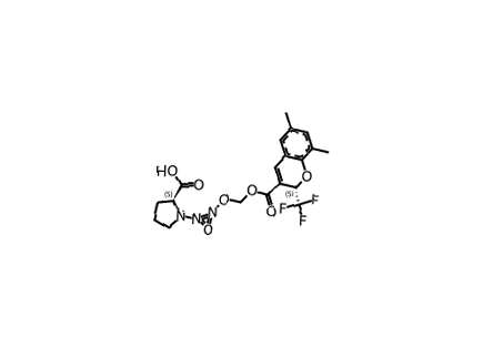 Cc1cc(C)c2c(c1)C=C(C(=O)OCOn1on1N1CCC[C@H]1C(=O)O)[C@@H](C(F)(F)F)O2